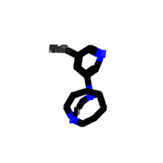 COc1cncc(N2CCN3CCCC2CCC3)c1